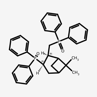 CC1(C)C2CC1[C@H](CP(=O)(c1ccccc1)c1ccccc1)[C@H](P(=O)(c1ccccc1)c1ccccc1)C2